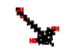 CC1(c2ccc(O)cc2)CSc2cc(O)ccc2C1CCCCCCCCCSCCOCCO